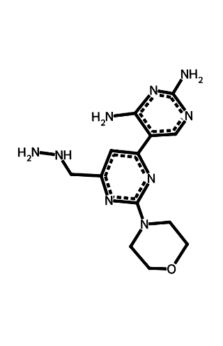 NNCc1cc(-c2cnc(N)nc2N)nc(N2CCOCC2)n1